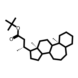 C[C@H](CC(=O)OC(C)(C)C)C1CCC2C3CCCC4CCCC[C@]4(C)C3CC[C@@]21C